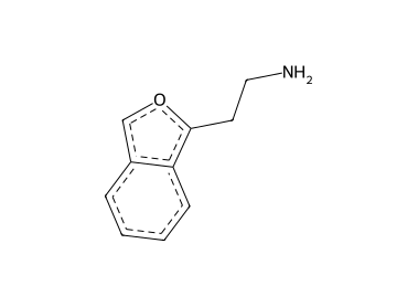 NCCc1occ2ccccc12